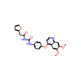 COc1cc2nccc(Oc3ccc(NC(=O)NC(=O)Cc4cccs4)cc3)c2cc1OC